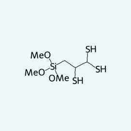 CO[Si](CC(S)C(S)S)(OC)OC